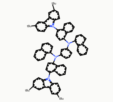 CC(C)(C)c1ccc2c(c1)c1cc(C(C)(C)C)ccc1n2-c1ccc(N(c2cccc(N(c3cccc4ccccc34)c3ccc(-n4c5ccc(C(C)(C)C)cc5c5cc(C(C)(C)C)ccc54)c4ccccc34)c2)c2cccc3ccccc23)c2ccccc12